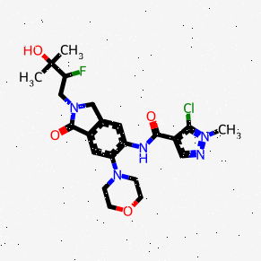 Cn1ncc(C(=O)Nc2cc3c(cc2N2CCOCC2)C(=O)N(CC(F)C(C)(C)O)C3)c1Cl